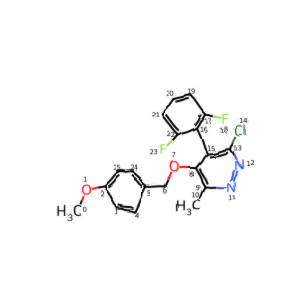 COc1ccc(COc2c(C)nnc(Cl)c2-c2c(F)cccc2F)cc1